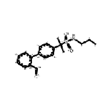 CCCNS(=O)(=O)C(C)(C)c1ccc(-c2ccccc2C=O)cc1